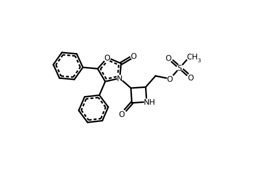 CS(=O)(=O)OCC1NC(=O)C1n1c(-c2ccccc2)c(-c2ccccc2)oc1=O